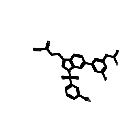 COC(=O)CCc1cn(S(=O)(=O)c2cccc(C(F)(F)F)c2)c2cc(-c3cc(F)cc(OC(F)F)c3)ccc12